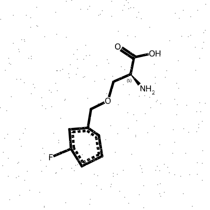 N[C@@H](COCc1cccc(F)c1)C(=O)O